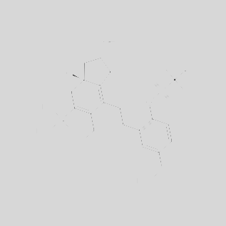 CCC1=C([Si](C)(C)C)C[C@]2(C)C[C@H](O)CC2=C1CCc1cc(OC)ccc1OS(=O)(=O)C(F)(F)F